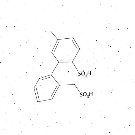 Cc1ccc(S(=O)(=O)O)c(-c2ccccc2CS(=O)(=O)O)c1